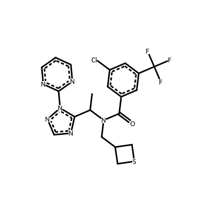 CC(c1ncnn1-c1ncccn1)N(CC1CSC1)C(=O)c1cc(Cl)cc(C(F)(F)F)c1